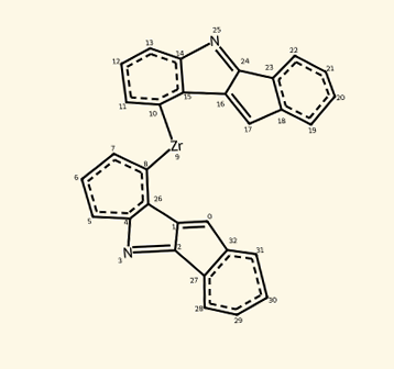 C1=C2C(=Nc3ccc[c]([Zr][c]4cccc5c4C4=Cc6ccccc6C4=N5)c32)c2ccccc21